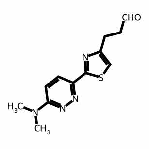 CN(C)c1ccc(-c2nc(CCC=O)cs2)nn1